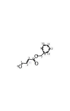 O=C/C=C/C(=O)OCc1ccccc1